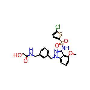 COc1cccc2c1c(NS(=O)(=O)c1ccc(Cl)s1)nn2Cc1cccc(CNC(=O)CO)c1